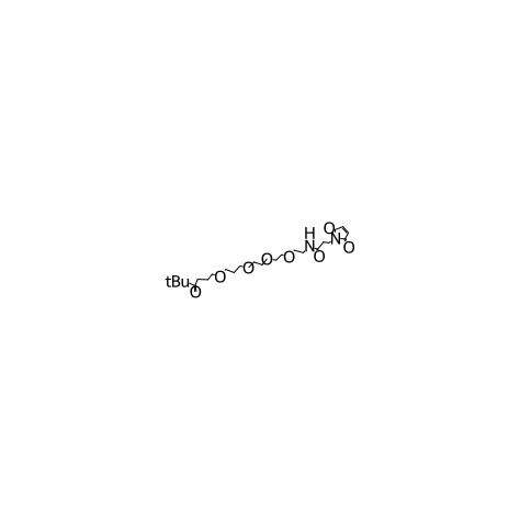 CC(C)(C)C(=O)CCCOCCCOCCOCCOCCNC(=O)CCN1C(=O)C=CC1=O